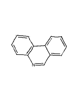 [c]1[c]c2c(cc1)ncc1ccccc12